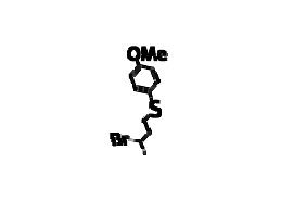 COc1ccc(SCCC(C)Br)cc1